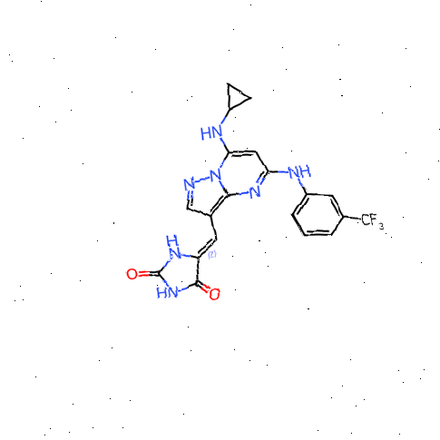 O=C1NC(=O)/C(=C/c2cnn3c(NC4CC4)cc(Nc4cccc(C(F)(F)F)c4)nc23)N1